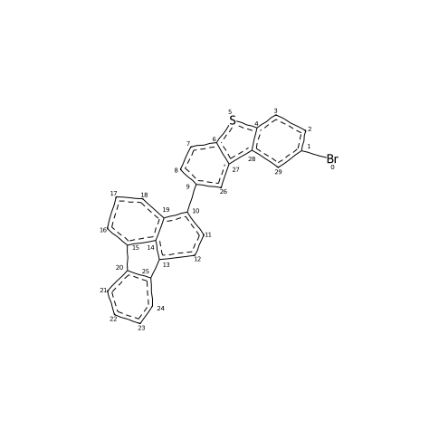 Brc1ccc2sc3ccc(-c4ccc5c6c(cccc46)-c4ccccc4-5)cc3c2c1